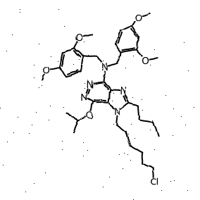 CCCCc1nc2c(N(Cc3ccc(OC)cc3OC)Cc3ccc(OC)cc3OC)nnc(OC(C)C)c2n1CCCCCCCl